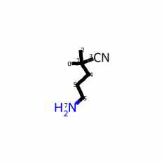 CC(C)(C#N)CCCN